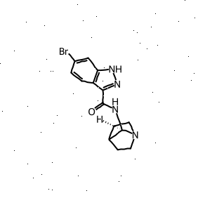 O=C(N[C@H]1CN2CCC1CC2)c1n[nH]c2cc(Br)ccc12